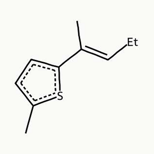 CC/C=C(\C)c1ccc(C)s1